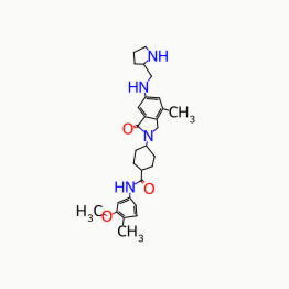 COc1cc(NC(=O)C2CCC(N3Cc4c(C)cc(NCC5CCCN5)cc4C3=O)CC2)ccc1C